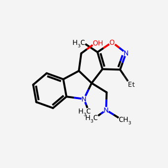 CCc1noc(C)c1C1(CN(C)C)C(CO)c2ccccc2N1C